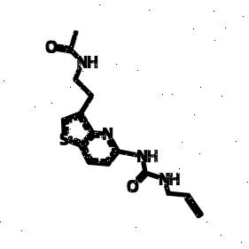 C=CCNC(=O)Nc1ccc2scc(CCNC(C)=O)c2n1